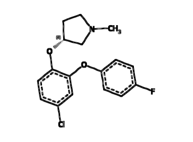 CN1CC[C@@H](Oc2ccc(Cl)cc2Oc2ccc(F)cc2)C1